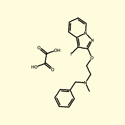 CN(CCOc1nn2ccccc2c1I)Cc1ccccc1.O=C(O)C(=O)O